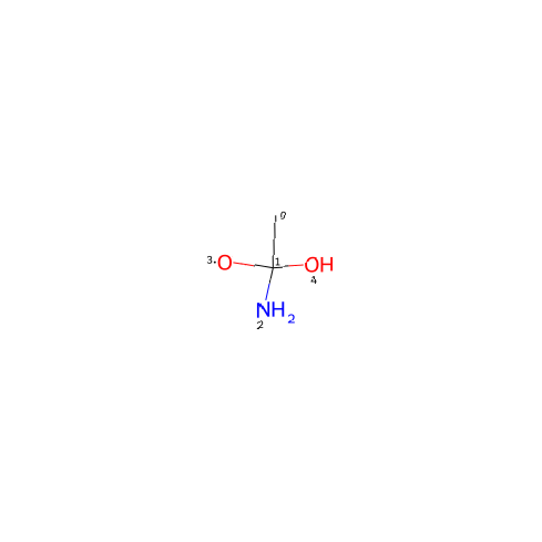 CC(N)([O])O